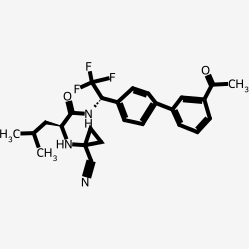 CC(=O)c1cccc(-c2ccc([C@H](NC(=O)[C@H](CC(C)C)NC3(C#N)CC3)C(F)(F)F)cc2)c1